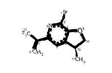 C=C(c1cc2c(c(Br)n1)OC[C@H]2C)C(F)(F)F